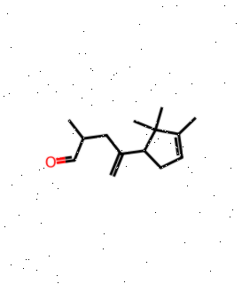 C=C(CC(C)C=O)C1CC=C(C)C1(C)C